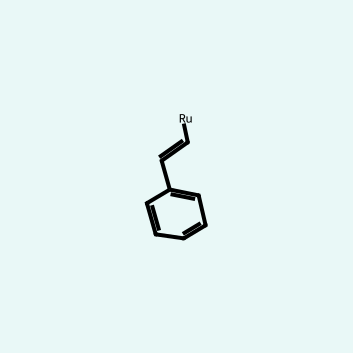 [Ru][CH]=Cc1ccccc1